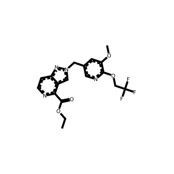 CCOC(=O)c1nccc2nn(Cc3cnc(OCC(F)(F)F)c(OC)c3)cc12